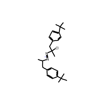 CC(Cc1ccc(C(C)(C)C)cc1)/N=N/C(C)(Cl)Cc1ccc(C(C)(C)C)cc1